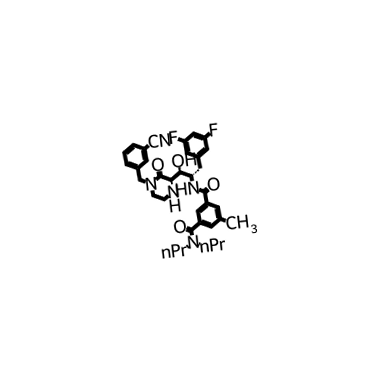 CCCN(CCC)C(=O)c1cc(C)cc(C(=O)N[C@@H](Cc2cc(F)cc(F)c2)[C@H](O)[C@@H]2NCCN(Cc3cccc(C#N)c3)C2=O)c1